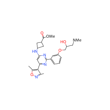 CNCC(O)COc1cccc(-c2nc(NC3CC(C(=O)OC)C3)cc(-c3c(C)noc3C)n2)c1